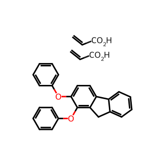 C=CC(=O)O.C=CC(=O)O.c1ccc(Oc2ccc3c(c2Oc2ccccc2)Cc2ccccc2-3)cc1